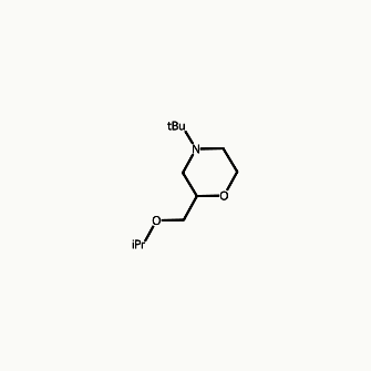 CC(C)OCC1CN(C(C)(C)C)CCO1